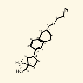 CC(C)CCSC[C@@H]1CCc2cc([C@H]3CC[C@](N)(CO)C3)ccc2C1